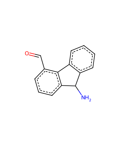 NC1c2ccccc2-c2c(C=O)cccc21